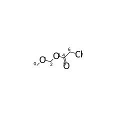 COCOC(=O)CCl